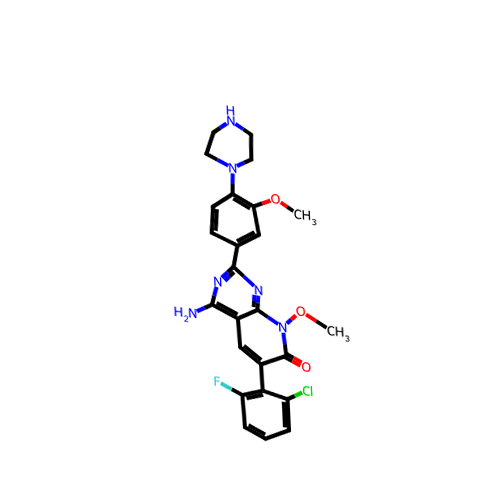 COc1cc(-c2nc(N)c3cc(-c4c(F)cccc4Cl)c(=O)n(OC)c3n2)ccc1N1CCNCC1